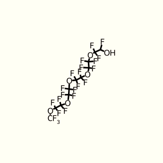 OC(F)C(F)(F)OC(F)(F)C(F)(F)OC(F)(F)C(F)(F)OC(F)(F)C(F)(F)OC(F)(F)C(F)(F)OC(F)(F)F